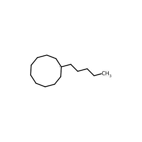 CCCCC[C]1CCCCCCCCC1